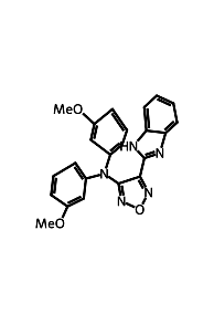 COc1cccc(N(c2cccc(OC)c2)c2nonc2-c2nc3ccccc3[nH]2)c1